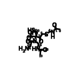 CC(=O)NCSCC(=O)C(CS)(C(=O)O)N(CNC(C)=O)C(=O)CN